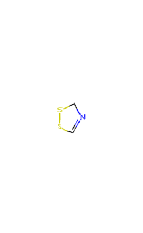 C1=NCSS1